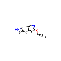 CCOc1cc(CC2CNC2)ccn1